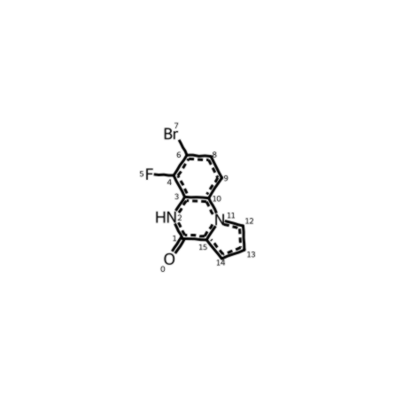 O=c1[nH]c2c(F)c(Br)ccc2n2cccc12